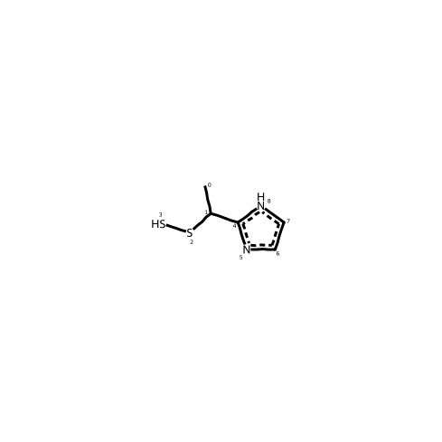 CC(SS)c1ncc[nH]1